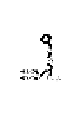 O=C(O)CN(CCOCCOCc1ccccc1)CCN(CC(=O)O)CC(=O)O